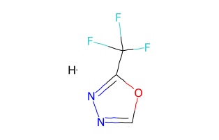 FC(F)(F)c1nnco1.[H]